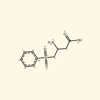 NC(CC(=O)O)CS(=O)(=O)c1ccccc1